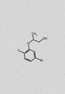 CC(CO)Oc1cc(Br)ccc1F